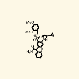 COc1ccc(CNS(=O)(=O)c2cc(C(C(N)=O)c3ccccc3F)ccc2-n2ccc(C3CC3)n2)c(OC)c1